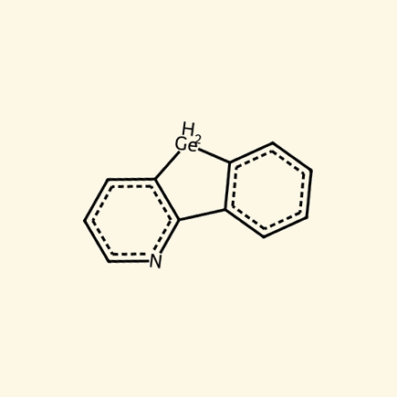 c1ccc2[c](c1)[GeH2][c]1cccnc1-2